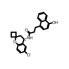 O=C(CCc1ccc(O)c2ccccc12)N[C@H]1CC2(CCC2)Oc2ccc(Cl)cc21